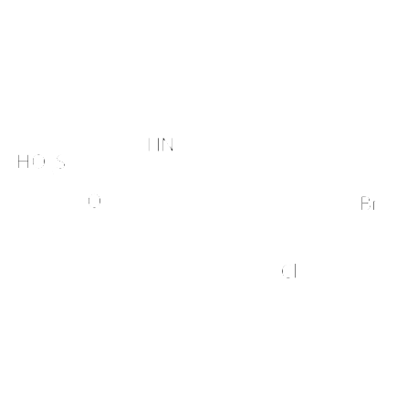 O=S(=O)(O)Oc1cc2c(Cl)c(Br)ccc2[nH]1